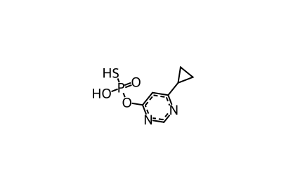 O=P(O)(S)Oc1cc(C2CC2)ncn1